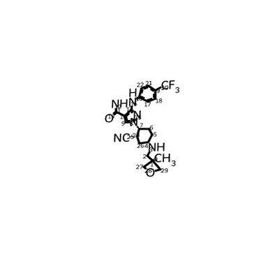 CC1(CN[C@@H]2CC[C@H](n3cc(C(N)=O)c(Nc4ccc(C(F)(F)F)cc4)n3)[C@@H](C#N)C2)COC1